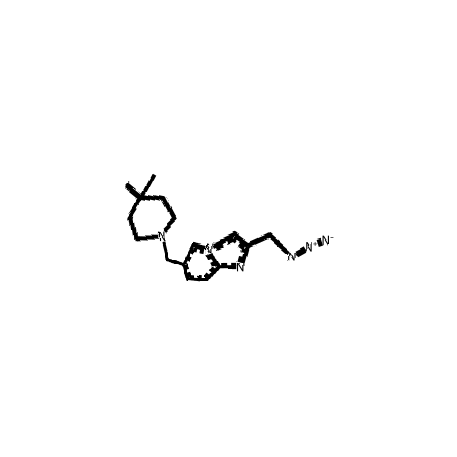 CC1(C)CCN(Cc2ccc3nc(CN=[N+]=[N-])cn3c2)CC1